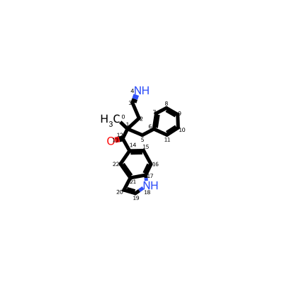 CC(CC=N)(Cc1ccccc1)C(=O)c1ccc2[nH]ccc2c1